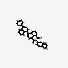 O=C1c2cccc3c(-c4ccc(-c5ccccn5)c5ccccc45)ccc(c23)C(=O)N1c1ccc2ccccc2c1